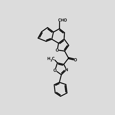 Cc1oc(-c2ccccc2)nc1C(=O)c1cc2cc(C=O)c3ccccc3c2o1